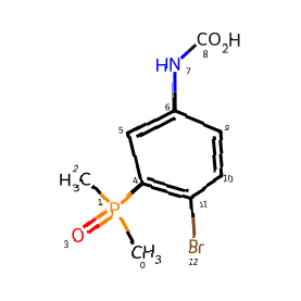 CP(C)(=O)c1cc(NC(=O)O)ccc1Br